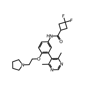 Cc1ncnc(C)c1-c1cc(NC(=O)C2CC(F)(F)C2)ccc1OCCN1CCCC1